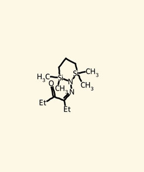 CCC(=O)C(CC)=NN1[Si](C)(C)CCC[Si]1(C)C